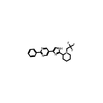 FC(F)(F)CN1CCCCC1c1nc(-c2cnc(-c3ccccc3)nc2)c[nH]1